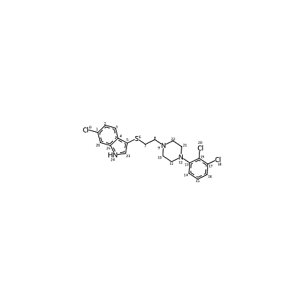 Clc1ccc2c(SCCN3CCN(c4cccc(Cl)c4Cl)CC3)c[nH]c2c1